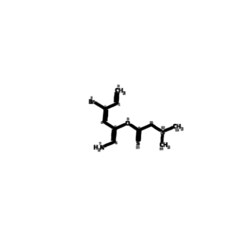 C=C/C(Br)=C\C(=C/N)OC(=S)CN(C)C